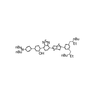 CCCCC(CC)Cc1cc(CC(CC)CCCC)cc(-c2cc3sc(-c4ccc(-c5ccc(-c6ccc(N(CCCC)CCCC)cc6)cc5O)c5nsnc45)cc3s2)c1